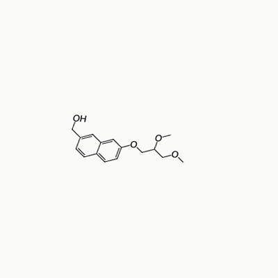 COCC(COc1ccc2ccc(CO)cc2c1)OC